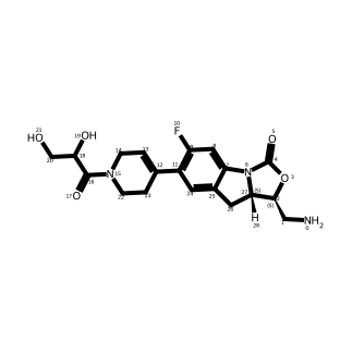 NC[C@@H]1OC(=O)N2c3cc(F)c(C4=CCN(C(=O)C(O)CO)CC4)cc3C[C@@H]12